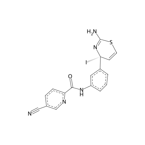 N#Cc1ccc(C(=O)Nc2cccc([C@]3(I)C=CSC(N)=N3)c2)nc1